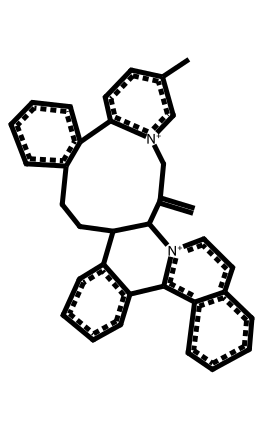 C=C1C[n+]2cc(C)ccc2-c2ccccc2CCC2c3ccccc3-c3c4ccccc4cc[n+]3C12